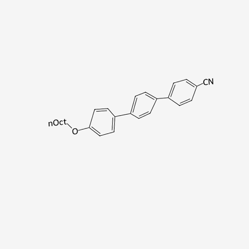 CCCCCCCCOc1ccc(-c2ccc(-c3ccc(C#N)cc3)cc2)cc1